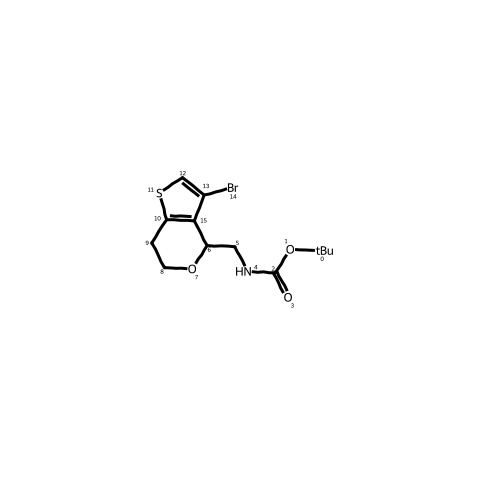 CC(C)(C)OC(=O)NCC1OCCc2scc(Br)c21